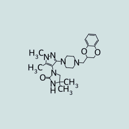 Cc1c(N2CC(C)(C)NC2=O)c(N2CCN(CC3COc4ccccc4O3)CC2)nn1C